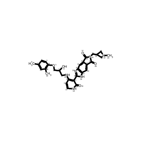 Cc1ccc(OCC(O)CNc2cc[nH]c(=O)c2-c2nc3cc4c(cc3[nH]2)C(=O)N(CC2CN(C)C2)C4=O)c(C)c1